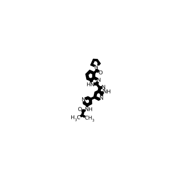 CC(C)C(=O)Nc1cncc(-c2cnc3[nH]nc(-c4nc5c(C(=O)N6CCCC6)cccc5[nH]4)c3c2)c1